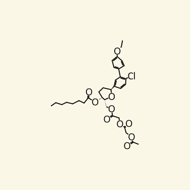 CCCCCCCC(=O)O[C@@H]1CC[C@@H](c2ccc(Cl)c(-c3ccc(OCC)cc3)c2)O[C@@H]1COC(=O)COC(=O)COC(C)=O